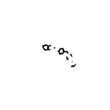 O=C(Nc1ccc(C(=O)N2CCN(c3ncccn3)CC2)cc1)N1Cc2ccc(C(F)(F)F)cc2C1